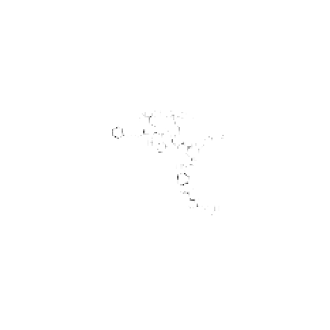 CC(=O)NCCCC[C@H](NC(=O)[C@H](CCCCN(C)C)NC(=O)[C@@H]1CCCN1C(=O)[C@H](CCC(N)=O)NC(=O)CCCc1ccccc1)C(=O)Nc1ccc2nc(C3=N[C@@H](C(=O)O)CS3)sc2c1